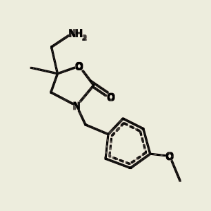 COc1ccc(CN2CC(C)(CN)OC2=O)cc1